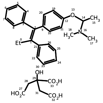 CC/C(=C(\c1ccccc1)c1ccc(OC(C)N(C)C)cc1)c1ccccc1.O=C(O)CC(O)(CC(=O)O)C(=O)O